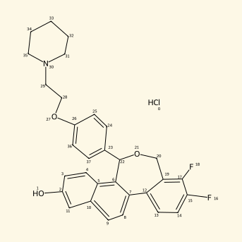 Cl.Oc1ccc2c3c(ccc2c1)-c1ccc(F)c(F)c1COC3c1ccc(OCCN2CCCCC2)cc1